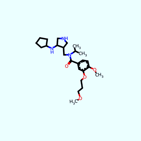 COCCCOc1cc(C(=O)N(CC2CNCC2NC2CCCC2)C(C)C)ccc1OC